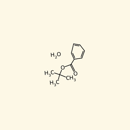 CC(C)(C)OC(=O)c1ccccc1.O